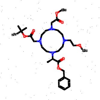 CCCC(C)(C)OC(=O)CN1CCN(CC(=O)OC(C)(C)C)CCN(CCOC(C)(C)C)CCN([C@H](C)C(=O)OCc2ccccc2)CC1